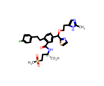 Cc1ncc(CCOC(c2ccc(CCc3ccc(F)cc3)c(C(=O)N[C@@H](CCS(C)(=O)=O)C(=O)O)c2)c2nccs2)[nH]1